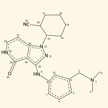 CN(C)Cc1cccc(Nc2nn(C3CCCCC3C#N)c3cc[nH]c(=O)c23)c1